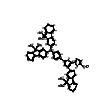 CCCCC1(CCCC)c2ccccc2-c2ccc(-c3cc(-c4ccc(N(c5ccc6c(c5)C(CCCC)(CCCC)c5ccccc5-6)c5ccc6c(c5)C(CCCC)(CCCC)c5ccccc5-6)cc4)sc3-c3ccc(C=O)s3)cc21